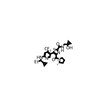 CCC(Nc1cc(C(F)(F)F)c(-c2sc(C(=O)NCC3(O)CC3)nc2C(=O)N2CCC[C@@H]2C)cn1)C1CC1